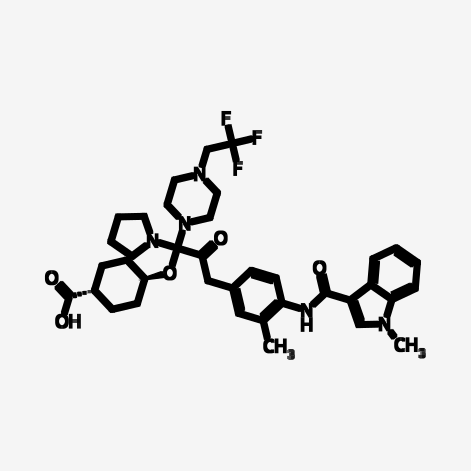 Cc1cc(CC(=O)C(O[C@H]2CC[C@H](C(=O)O)CC2)(N2CCCC2)N2CCN(CC(F)(F)F)CC2)ccc1NC(=O)c1cn(C)c2ccccc12